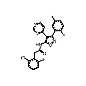 Cc1ccc(F)c(-c2noc(NC(=O)Cc3c(F)cccc3Cl)c2-c2ccncn2)c1